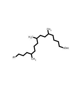 CCCCCCCCCCCCCCC(C)CCC(C)CCCC(C)CCCC(C)C